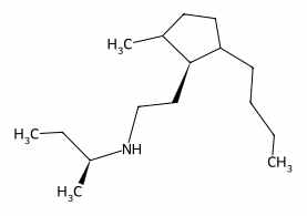 CCCCC1CCC(C)[C@@H]1CCN[C@@H](C)CC